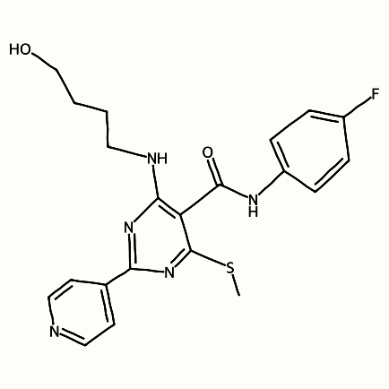 CSc1nc(-c2ccncc2)nc(NCCCCO)c1C(=O)Nc1ccc(F)cc1